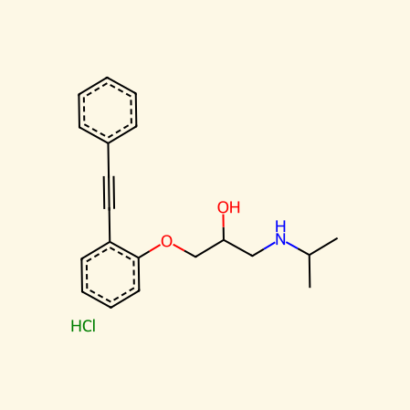 CC(C)NCC(O)COc1ccccc1C#Cc1ccccc1.Cl